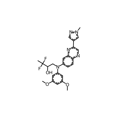 COc1cc(OC)cc(N(CC(O)C(C)(F)F)c2ccc3ncc(-c4cnn(C)c4)nc3c2)c1